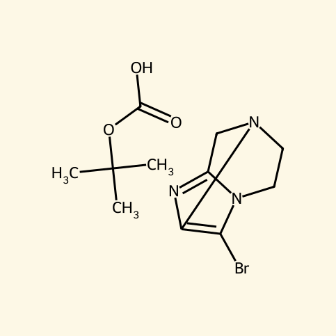 Brc1c2nc3n1CCN2C3.CC(C)(C)OC(=O)O